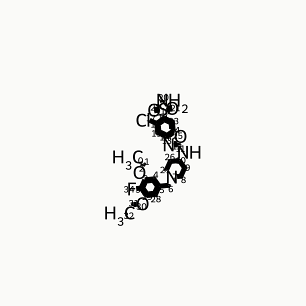 CCOc1cc(CN2CCC(Nc3nc4cc(Cl)c(S(N)(=O)=O)cc4o3)CC2)cc(OCC)c1F